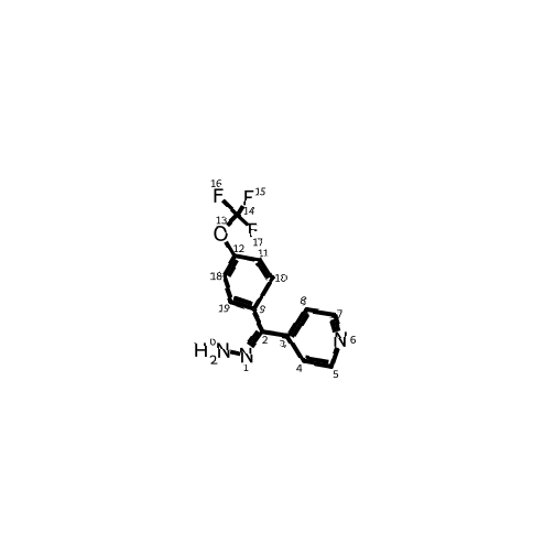 NN=C(c1ccncc1)c1ccc(OC(F)(F)F)cc1